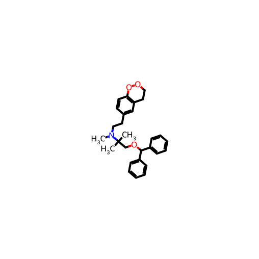 CN(CCc1ccc2c(c1)CCOO2)C(C)(C)COC(c1ccccc1)c1ccccc1